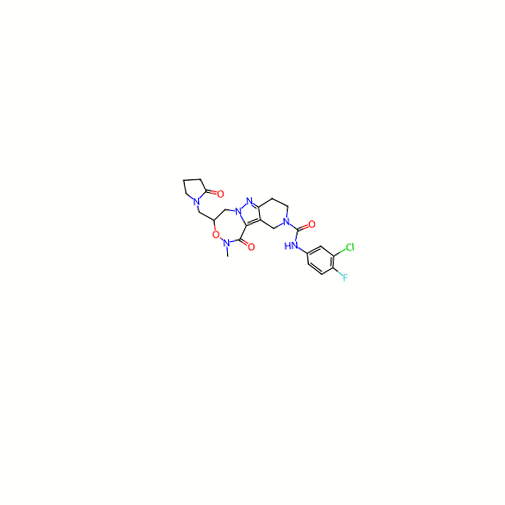 CN1OC(CN2CCCC2=O)Cn2nc3c(c2C1=O)CN(C(=O)Nc1ccc(F)c(Cl)c1)CC3